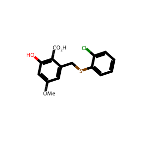 COc1cc(O)c(C(=O)O)c(CSc2ccccc2Cl)c1